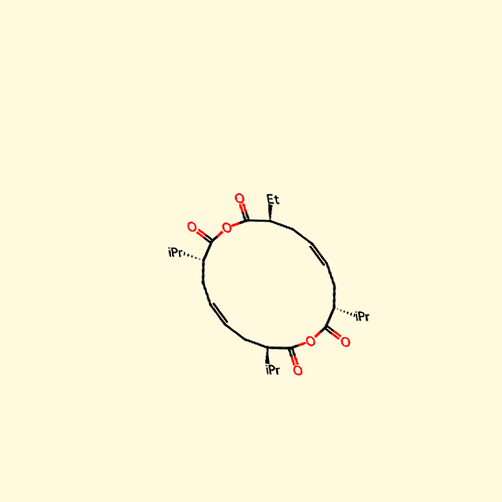 CC[C@H]1CC=CC[C@H](C(C)C)C(=O)OC(=O)[C@@H](C(C)C)CC=CC[C@H](C(C)C)C(=O)OC1=O